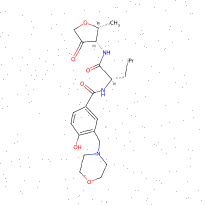 CC(C)C[C@H](NC(=O)c1ccc(O)c(CN2CCOCC2)c1)C(=O)N[C@@H]1C(=O)CO[C@@H]1C